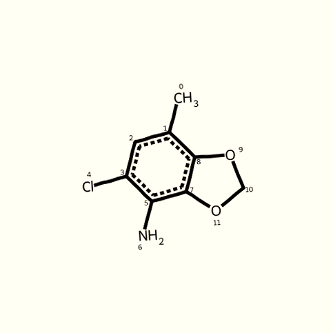 Cc1cc(Cl)c(N)c2c1OCO2